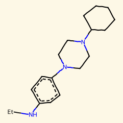 CCNc1ccc(N2CCN(C3CCCCC3)CC2)cc1